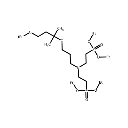 CCOP(=O)(CCN(CCCOC(C)(C)CCOC(C)(C)C)CCP(=O)(OCC)OCC)OCC